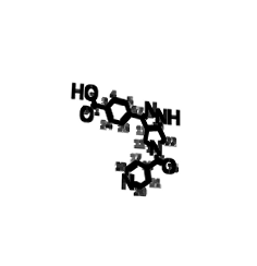 O=C(O)c1ccc(-c2n[nH]c3c2CN(C(=O)c2ccncc2)C3)cc1